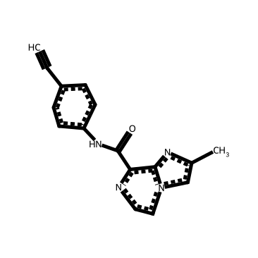 C#Cc1ccc(NC(=O)c2nccn3cc(C)nc23)cc1